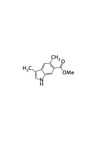 COC(=O)c1cc2[nH]cc(C)c2cc1C